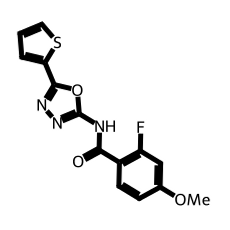 COc1ccc(C(=O)Nc2nnc(-c3cccs3)o2)c(F)c1